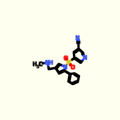 CNCc1cc(-c2ccccc2)n(S(=O)(=O)c2cncc(C#N)c2)c1